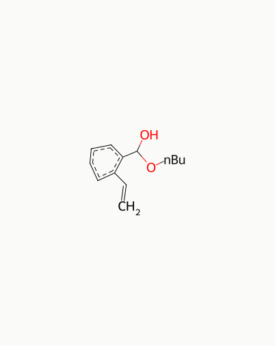 C=Cc1ccccc1C(O)OCCCC